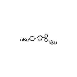 CCCC[C@H]1CC[C@H]([C@H]2CC[C@H](C(=O)OC[C@@H](C)CC)CC2)CC1